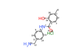 Cc1ccc(C(=O)Nc2ccc(CN)cc2)c(O)c1.Cl